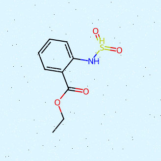 CCOC(=O)c1ccccc1N[SH](=O)=O